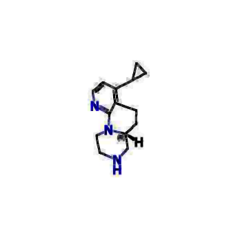 c1cc(C2CC2)c2c(n1)N1CCNC[C@H]1CC2